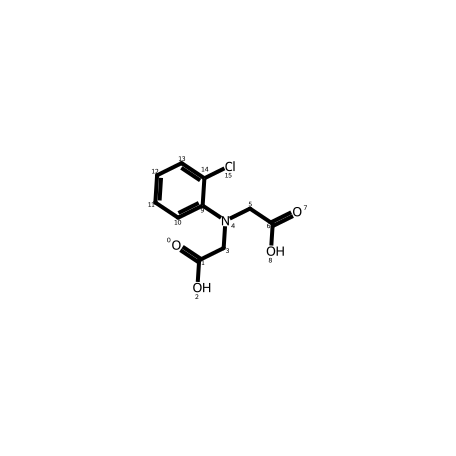 O=C(O)CN(CC(=O)O)c1ccccc1Cl